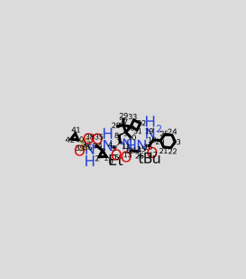 CC[C@@H]1C[C@]1(NC(=O)[C@@H]1C[C@@]2(CN1C(=O)[C@@H](NC(=O)[C@@H](N)C1CCCCC1)C(C)(C)C)C(C)(C)C21CCC1)C(=O)NS(=O)(=O)C1CC1